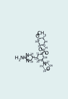 COc1ccc(CS(=O)(=O)c2cc(-c3cnc(N)nc3)cc(N3CCOCC3)c2)cc1